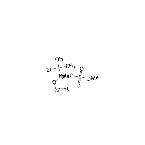 CCCCCONC(C)(O)CC.COS(=O)(=O)OC